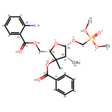 CCOP(=O)(CO[C@H]1O[C@@H](COC(=O)c2ccccc2I)C(C)(OC(=O)c2ccccc2)[C@H]1OC(C)=O)OCC